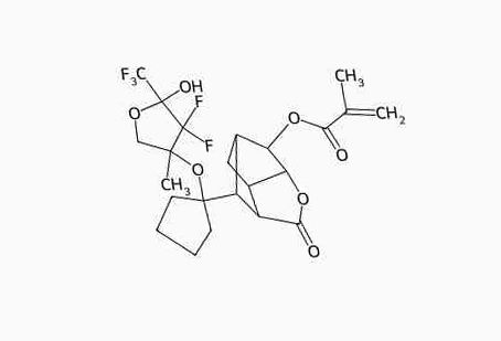 C=C(C)C(=O)OC1C2CC3C1OC(=O)C3C2C1(OC2(C)COC(O)(C(F)(F)F)C2(F)F)CCCC1